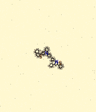 c1ccc(-c2cc3c(nc2-c2ccc(-c4ccc(-n5c6ccccc6c6cc7c(cc65)sc5ccc6ccccc6c57)cc4)cc2)sc2ccccc23)cc1